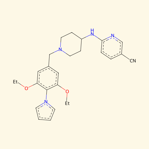 CCOc1cc(CN2CCC(Nc3ccc(C#N)cn3)CC2)cc(OCC)c1-n1cccc1